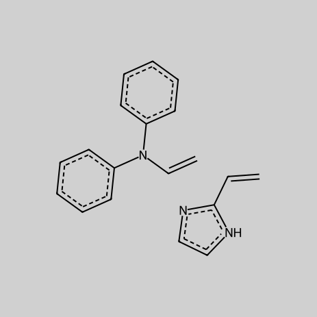 C=CN(c1ccccc1)c1ccccc1.C=Cc1ncc[nH]1